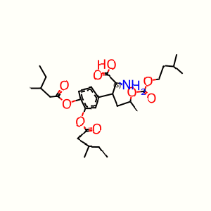 CCC(C)CC(=O)Oc1ccc(C(CC(C)OC(=O)OCCC(C)C)[C@H](N)C(=O)O)cc1OC(=O)CC(C)CC